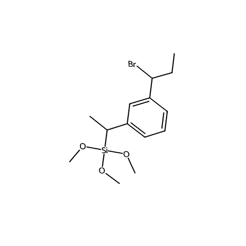 CCC(Br)c1cccc(C(C)[Si](OC)(OC)OC)c1